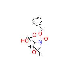 O=C(OCc1ccccc1)N1C[C@@H]2O[C@H]2[C@H]1[13C](=O)O